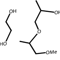 COCC(C)OCC(C)O.OCCO